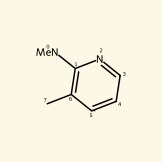 CNc1ncc[c]c1C